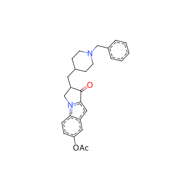 CC(=O)Oc1ccc2c(c1)cc1n2CC(CC2CCN(Cc3ccccc3)CC2)C1=O